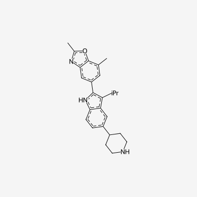 Cc1nc2cc(-c3[nH]c4ccc(C5CCNCC5)cc4c3C(C)C)cc(C)c2o1